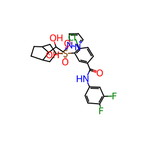 O=C(Nc1ccc(F)c(F)c1)c1ccc(Cl)c(S(=O)(=O)[C@H]2CC3CCC(C2)[C@@]3(O)C(O)Cn2cccn2)c1